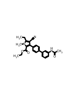 CCOC(=O)c1c(-c2ccc(-c3cccc(NC(C)=O)c3)cc2)c(C#N)c(CC)n1C